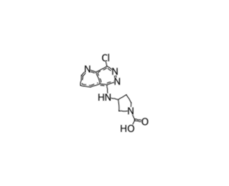 O=C(O)N1CCC(Nc2nnc(Cl)c3ncccc23)C1